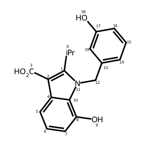 CC(C)c1c(C(=O)O)c2cccc(O)c2n1Cc1cccc(O)c1